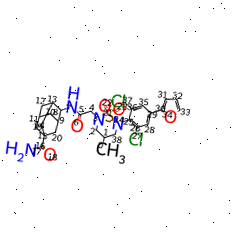 CC1CN(CC(=O)NC2C3CC4CC2CC(C(N)=O)(C4)C3)S(=O)(=O)N(c2c(Cl)cc(-c3ccco3)cc2Cl)C1